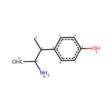 CC(c1ccc(O)cc1)C(N)C=O